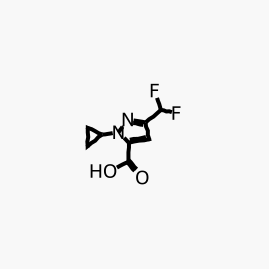 O=C(O)c1cc(C(F)F)nn1C1CC1